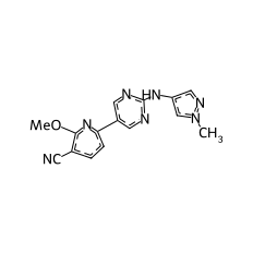 COc1nc(-c2cnc(Nc3cnn(C)c3)nc2)ccc1C#N